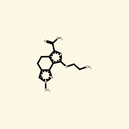 CCCSc1sc(C(N)=O)c2c1-c1nn(C)cc1CC2